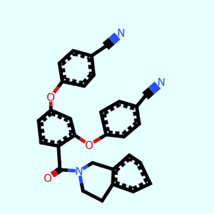 N#Cc1ccc(Oc2ccc(C(=O)N3CCc4ccccc4C3)c(Oc3ccc(C#N)cc3)c2)cc1